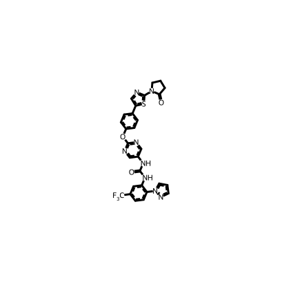 O=C(Nc1cnc(Oc2ccc(-c3cnc(N4CCCC4=O)s3)cc2)nc1)Nc1cc(C(F)(F)F)ccc1-n1cccn1